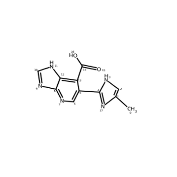 Cc1c[nH]c(-c2cnc3nc[nH]c3c2C(=O)O)n1